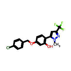 Cn1nc(C(F)(F)F)cc1-c1ccc(OCc2ccc(Cl)cc2)cc1O